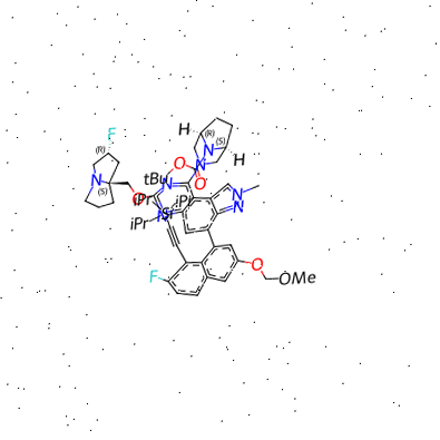 COCOc1cc(-c2cc3nc(OC[C@@]45CCCN4C[C@H](F)C5)nc(N4C[C@H]5CC[C@@H](C4)N5C(=O)OC(C)(C)C)c3c3cn(C)nc23)c2c(C#C[Si](C(C)C)(C(C)C)C(C)C)c(F)ccc2c1